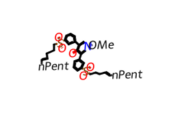 CCCCCC=CCCCS(=O)(=O)c1cccc(-c2cn(OC)cc(-c3cccc(S(=O)(=O)CCCC=CCCCCC)c3)c2=O)c1